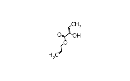 C=CCOC(=O)/C(O)=C/C